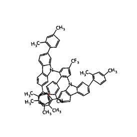 Cc1ccc(-c2ccc3c4ccc(-c5ccc(C)cc5C)cc4n(-c4cc(C(F)(F)F)cc(-n5c6cc(-c7ccc(C)cc7C)ccc6c6ccc(-c7ccc(C)cc7C)cc65)c4-c4cccc(C#N)c4)c3c2)c(C)c1